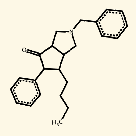 CCCCC1C(c2ccccc2)C(=O)C2CN(Cc3ccccc3)CC21